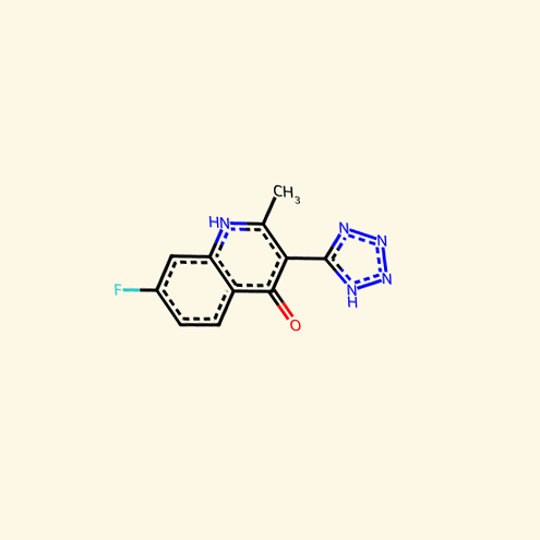 Cc1[nH]c2cc(F)ccc2c(=O)c1-c1nnn[nH]1